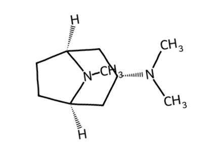 CN(C)[C@@H]1C[C@H]2CC[C@@H](C1)N2C